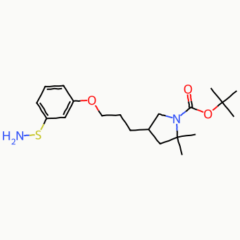 CC(C)(C)OC(=O)N1CC(CCCOc2cccc(SN)c2)CC1(C)C